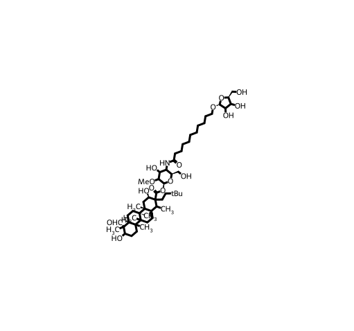 COC1C(O)C(NC(=O)CCCCCCCCCCO[C@@H]2O[C@@H](CO)C(O)C2O)[C@@H](CO)O[C@H]1OC(=O)C1(CCC(C)(C)C)C(C)C2=CCC3(C)C4(C)CCC(O)C(C)(C=O)[C@@H]4CC[C@@]3(C)[C@]2(C)C[C@H]1O